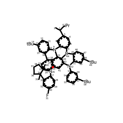 CC(C)C(C)c1ccc2c(c1)N(c1ccc(C(C)(C)C)cc1-c1ccccc1)c1cc(N3c4ccc(F)cc4C4(C)CCCC34C)cc3c1B2c1ccc(C(C)(C)C)cc1N3c1cccc(C(C)(C)C)c1